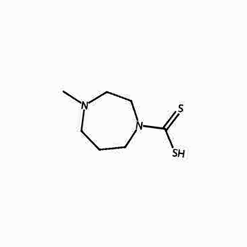 CN1CCCN(C(=S)S)CC1